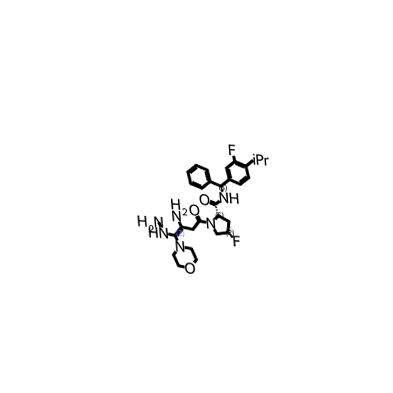 CC(C)c1ccc([C@@H](NC(=O)[C@@H]2C[C@@H](F)CN2C(=O)C/C(N)=C(/NN)N2CCOCC2)c2ccccc2)cc1F